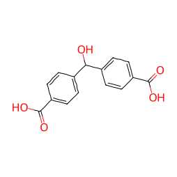 O=C(O)c1ccc(C(O)c2ccc(C(=O)O)cc2)cc1